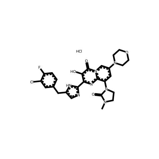 CN1CCN(c2cc(N3CCOCC3)cn3c(=O)c(O)c(-c4ncc(Cc5ccc(F)c(Cl)c5)[nH]4)nc23)C1=O.Cl